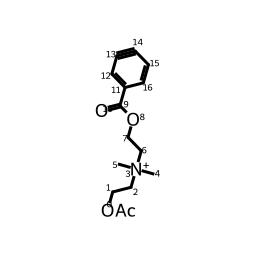 CC(=O)OCC[N+](C)(C)CCOC(=O)c1cc#ccc1